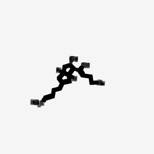 CCC(C)CCC=C(O)[C@H]1[C@@H]2C=C(CCC=CC(=O)O)C[C@@H]2C[C@@H]1O